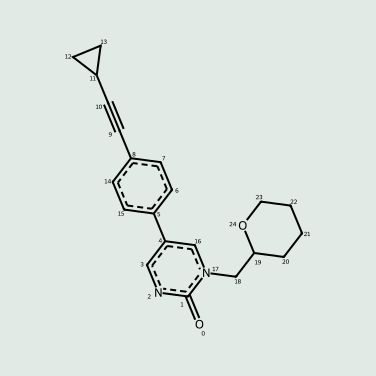 O=c1ncc(-c2ccc(C#CC3CC3)cc2)cn1CC1CCCCO1